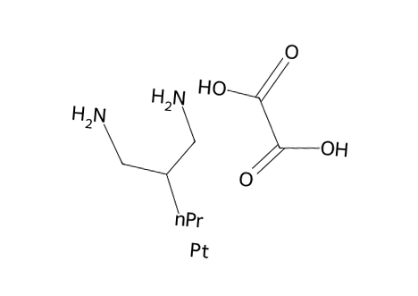 CCCC(CN)CN.O=C(O)C(=O)O.[Pt]